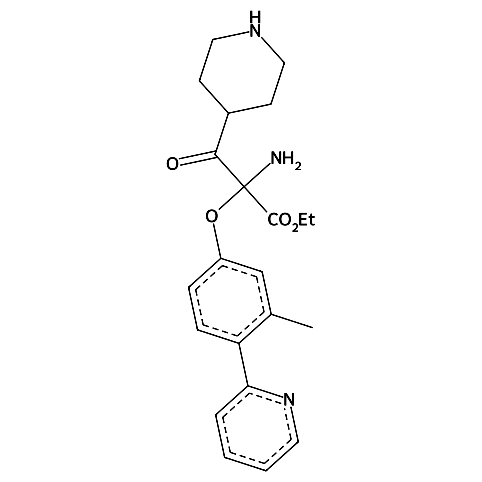 CCOC(=O)C(N)(Oc1ccc(-c2ccccn2)c(C)c1)C(=O)C1CCNCC1